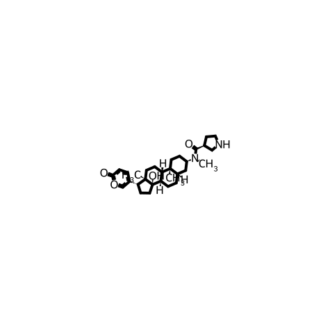 CN(C(=O)[C@H]1CCNC1)[C@H]1CC[C@@]2(C)[C@H](CC[C@@H]3[C@@H]2CC[C@]2(C)[C@@H](c4ccc(=O)oc4)CC[C@]32O)C1